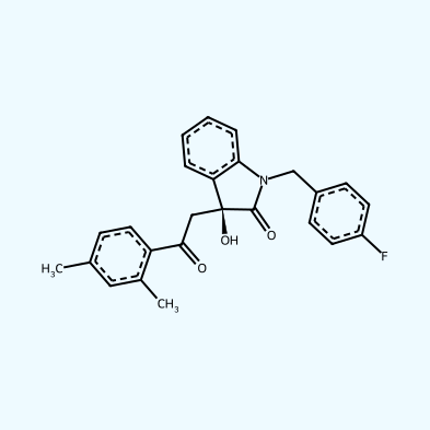 Cc1ccc(C(=O)C[C@@]2(O)C(=O)N(Cc3ccc(F)cc3)c3ccccc32)c(C)c1